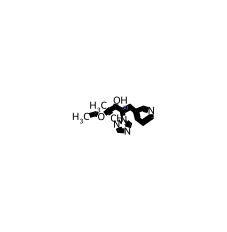 CCOC(C)(C)C(O)/C(=C/c1cccnc1)n1cncn1